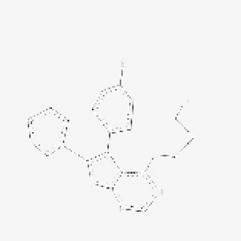 CCc1ccc(-c2c(-c3ccccc3)oc3ncnc(OC[C@@H](C)C[O])c23)cc1